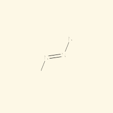 CCN=NN=O